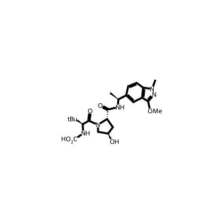 COc1nn(C)c2ccc([C@H](C)NC(=O)[C@@H]3C[C@@H](O)CN3C(=O)[C@@H](NC(=O)O)C(C)(C)C)cc12